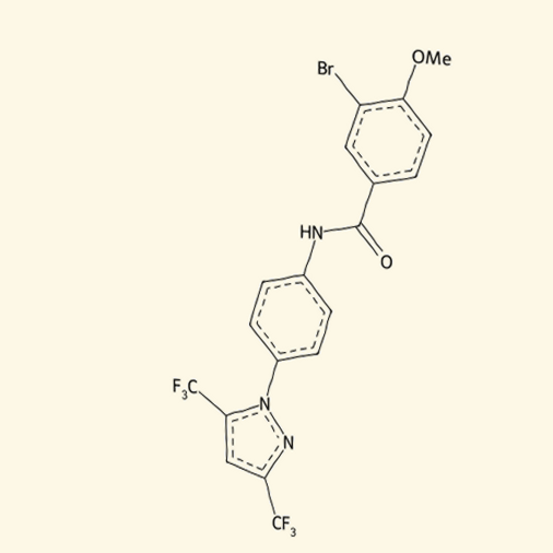 COc1ccc(C(=O)Nc2ccc(-n3nc(C(F)(F)F)cc3C(F)(F)F)cc2)cc1Br